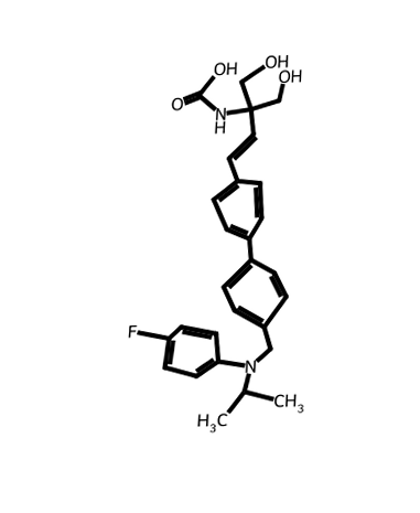 CC(C)N(Cc1ccc(-c2ccc(/C=C/C(CO)(CO)NC(=O)O)cc2)cc1)c1ccc(F)cc1